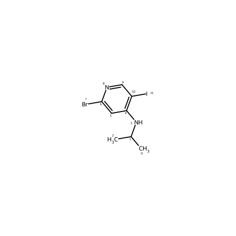 CC(C)Nc1cc(Br)ncc1I